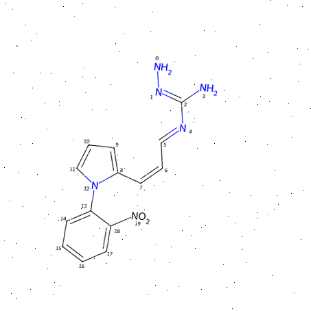 NN=C(N)/N=C/C=C\c1cccn1-c1ccccc1[N+](=O)[O-]